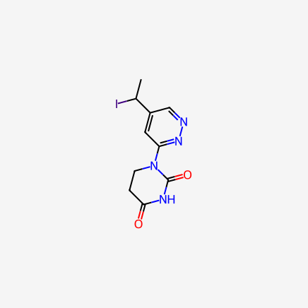 CC(I)c1cnnc(N2CCC(=O)NC2=O)c1